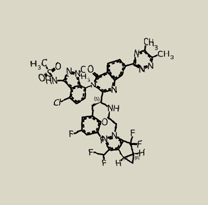 Cc1nnc(-c2ccc3c(=O)n(-c4ccc(Cl)c5c(NS(C)(=O)=O)nn(C)c45)c([C@H](Cc4cc(F)cc(F)c4)NC(=O)Cn4nc(C(F)F)c5c4C(F)(F)[C@@H]4C[C@H]54)nc3c2)nc1C